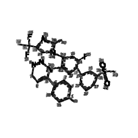 Cc1ccc(C2=CCN=NN2c2cc(-c3cccc(S(C)(=O)=O)c3)c(F)cc2-n2cc(C(C)(F)F)nc2C)cc1